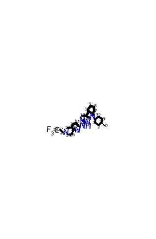 C[C@H]1CC[C@H](n2c3ccccc3c3cnc(Nc4ccc5c(n4)CCN(CCC(F)(F)F)C5)nc32)CC1